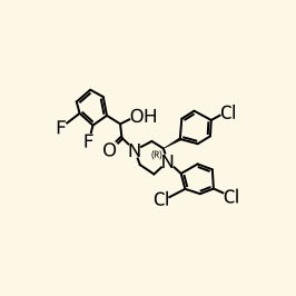 O=C(C(O)c1cccc(F)c1F)N1CCN(c2ccc(Cl)cc2Cl)[C@H](c2ccc(Cl)cc2)C1